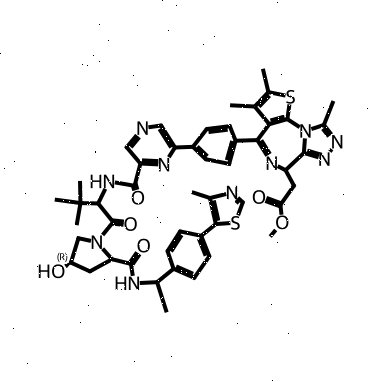 COC(=O)CC1N=C(c2ccc(-c3cncc(C(=O)NC(C(=O)N4C[C@H](O)CC4C(=O)NC(C)c4ccc(-c5scnc5C)cc4)C(C)(C)C)n3)cc2)c2c(sc(C)c2C)-n2c(C)nnc21